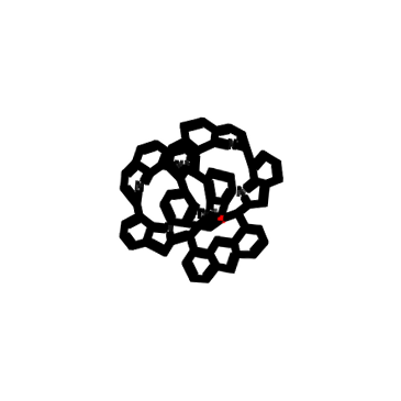 C1=c2cccc3c2=NC1C(c1cccc2cc4cccc(-c5c6cc7cccc(c8ccc9ccc%10ccc(nc%10c9n8)c8cccc9cc5[nH]c98)c7n6)c4cc12)c1cc2cccc(c2[nH]1)-c1ccc2ccc4ccc-3nc4c2n1